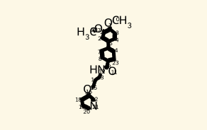 COc1ccc(-c2ccc(C(=O)NCCCOc3cccnc3)cc2)cc1OC